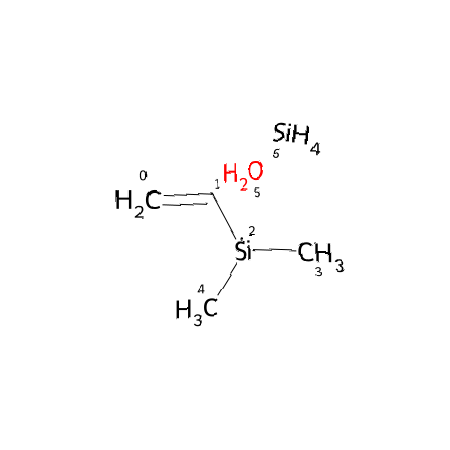 C=C[Si](C)C.O.[SiH4]